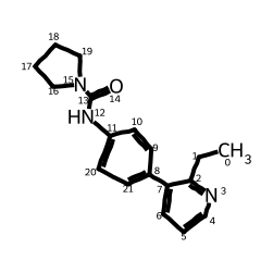 CCc1ncccc1-c1ccc(NC(=O)N2CCCC2)cc1